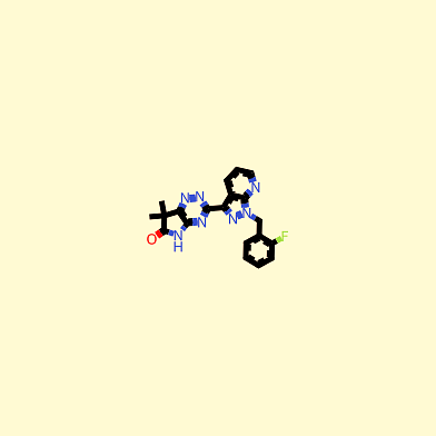 CC1(C)C(=O)Nc2nc(-c3nn(Cc4ccccc4F)c4ncccc34)nnc21